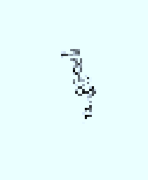 [O-][S+](c1ccc(NCC(O)C2CC2)nc1)N1CCCC1c1ccccc1-c1cncn1CCc1ccc(F)cc1